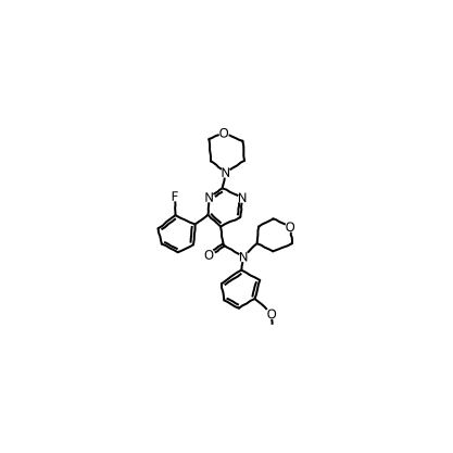 COc1cccc(N(C(=O)c2cnc(N3CCOCC3)nc2-c2ccccc2F)C2CCOCC2)c1